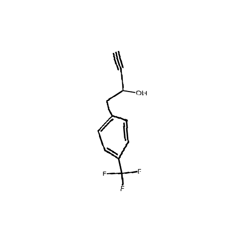 C#CC(O)Cc1ccc(C(F)(F)F)cc1